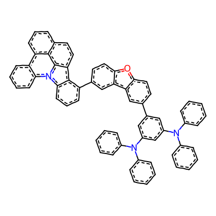 c1ccc(N(c2ccccc2)c2cc(-c3ccc4oc5ccc(-c6cccc7c6c6ccc8cccc9c%10ccccc%10n7c6c89)cc5c4c3)cc(N(c3ccccc3)c3ccccc3)c2)cc1